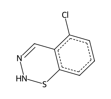 Clc1cccc2c1C=NNS2